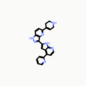 C1=C(c2ccc3[nH]nc(-c4cc5c(-c6ccccn6)ccnc5[nH]4)c3n2)CCNC1